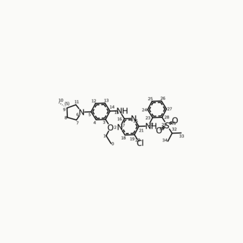 CCOc1cc(N2CC[C@H](C)C2)ccc1Nc1ncc(Cl)c(Nc2ccccc2S(=O)(=O)C(C)C)n1